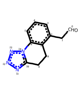 O=CCc1cccc2c1CCc1nnnn1-2